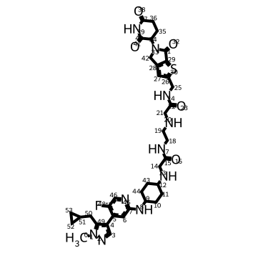 Cn1ncc(-c2cc(NC3CCC(NCC(=O)NCCNCC(=O)NCc4cc5c(s4)C(=O)N(C4CCC(=O)NC4=O)C5)CC3)ncc2F)c1CC1CC1